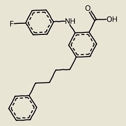 O=C(O)c1ccc(CCCCc2ccccc2)cc1Nc1ccc(F)cc1